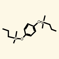 CCC[Si](C)(C)Oc1ccc(O[Si](C)(C)CCC)cc1